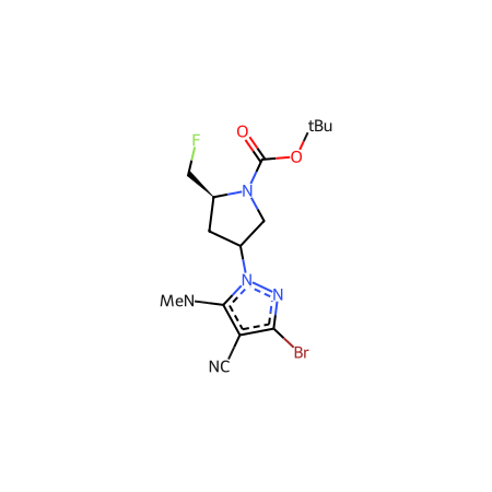 CNc1c(C#N)c(Br)nn1C1C[C@@H](CF)N(C(=O)OC(C)(C)C)C1